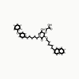 O=C(O)COC(C(=O)O)C(OCCCCCc1ccc2ccccc2c1)C(=O)NCCCCCc1ccc(Oc2ccccc2)cc1